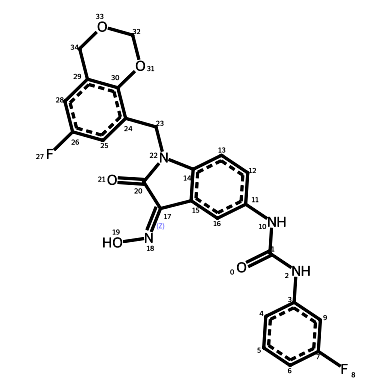 O=C(Nc1cccc(F)c1)Nc1ccc2c(c1)/C(=N/O)C(=O)N2Cc1cc(F)cc2c1OCOC2